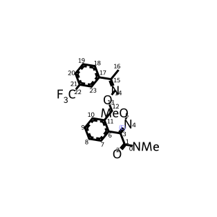 CNC(=O)/C(=N/OC)c1ccccc1CON=C(C)c1cccc(C(F)(F)F)c1